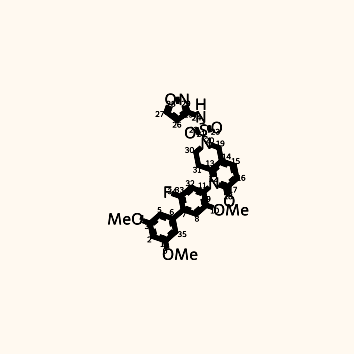 COc1cc(OC)cc(-c2cc(OC)c(-n3c4c(ccc3=O)CN(S(=O)(=O)Nc3ccon3)CC4)cc2F)c1